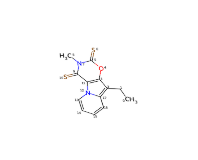 CCc1c2oc(=S)n(C)c(=S)c2n2ccccc12